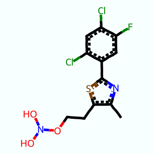 Cc1nc(-c2cc(F)c(Cl)cc2Cl)sc1CCON(O)O